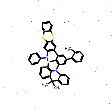 Cc1ccccc1-c1cc2c3c(c1)N1c4ccccc4C(C)(C)c4cccc(c41)B3N(c1ccccc1)c1cc3c(cc1-2)Sc1ccccc1S3